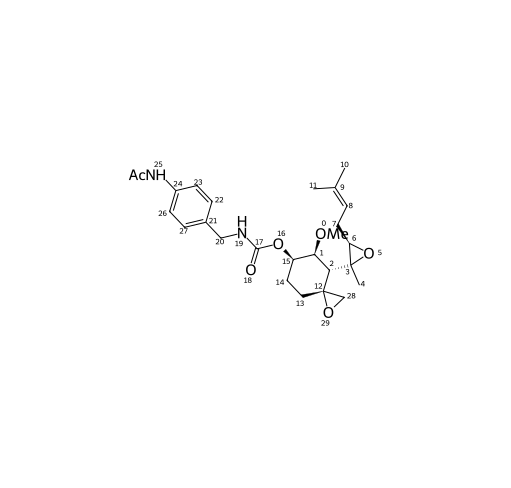 CO[C@H]1[C@H](C2(C)O[C@@H]2CC=C(C)C)[C@]2(CC[C@H]1OC(=O)NCc1ccc(NC(C)=O)cc1)CO2